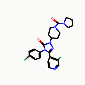 O=C(N1CCCC1)N1CCC(n2nc(-c3ccncc3Cl)n(-c3ccc(F)cc3)c2=O)CC1